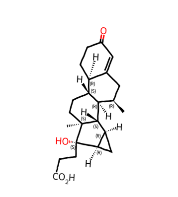 C[C@@H]1CC2=CC(=O)CC[C@@H]2[C@H]2CC[C@@]3(C)[C@@H]([C@H]4C[C@H]4[C@@]3(O)CCC(=O)O)[C@@H]21